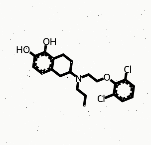 CCCN(CCOc1c(Cl)cccc1Cl)C1CCc2c(ccc(O)c2O)C1